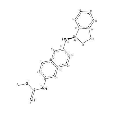 CSC(=N)Nc1ccc2nc(N[C@@H]3CCc4ccccc43)ccc2c1